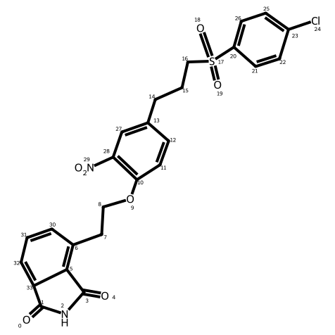 O=C1NC(=O)c2c(CCOc3ccc(CCCS(=O)(=O)c4ccc(Cl)cc4)cc3[N+](=O)[O-])cccc21